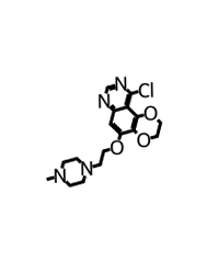 CN1CCN(CCOc2cc3ncnc(Cl)c3c3c2OCCO3)CC1